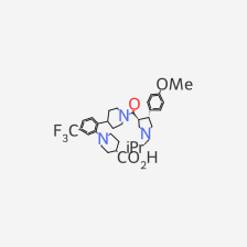 COc1ccc([C@@H]2CN(CC(C)C)C[C@H]2C(=O)N2CCC(c3ccc(C(F)(F)F)cc3N3CCC(C(=O)O)CC3)CC2)cc1